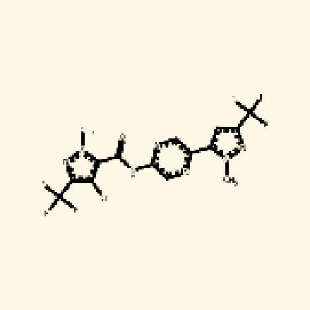 Cn1nc(C(F)(F)F)cc1-c1cnc(NC(=O)c2c(Cl)c(C(F)(F)F)nn2C)cn1